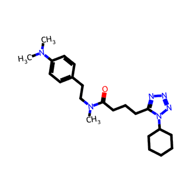 CN(CCc1ccc(N(C)C)cc1)C(=O)CCCc1nnnn1C1CCCCC1